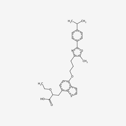 CCOC(Cc1ccc(OCCCc2nc(-c3ccc(C(C)C)cc3)oc2C)c2ccsc12)C(=O)O